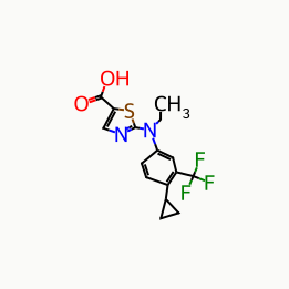 CCN(c1ccc(C2CC2)c(C(F)(F)F)c1)c1ncc(C(=O)O)s1